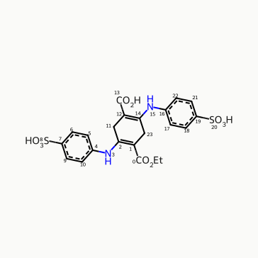 CCOC(=O)C1=C(Nc2ccc(S(=O)(=O)O)cc2)CC(C(=O)O)=C(Nc2ccc(S(=O)(=O)O)cc2)C1